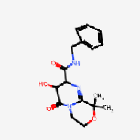 CC1(C)OCCN2C(=O)C(O)C(C(=O)NCc3ccccc3)N=C21